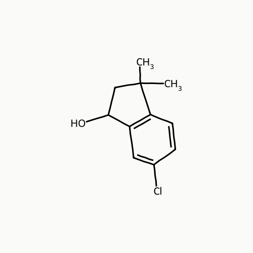 CC1(C)CC(O)c2cc(Cl)ccc21